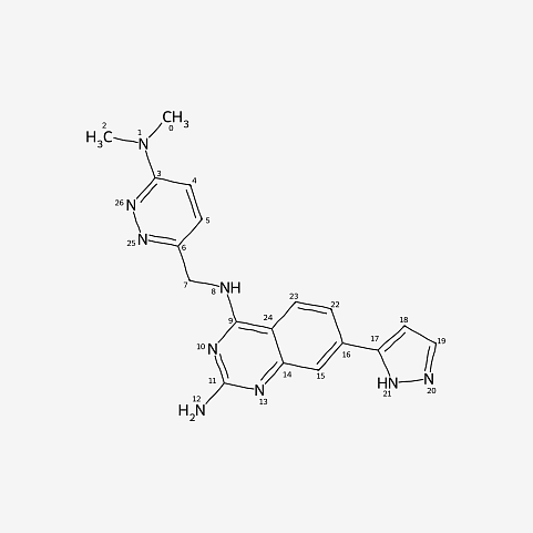 CN(C)c1ccc(CNc2nc(N)nc3cc(-c4ccn[nH]4)ccc23)nn1